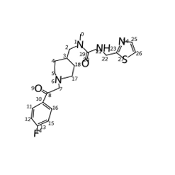 CN(CC1CCN(CC(=O)c2ccc(F)cc2)CC1)C(=O)NCc1nccs1